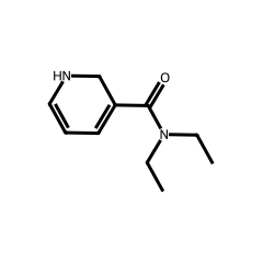 CCN(CC)C(=O)C1=CC=CNC1